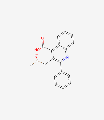 C[S+]([O-])Cc1c(-c2ccccc2)nc2ccccc2c1C(=O)O